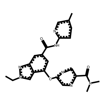 CCn1cc2c(Oc3cnc(C(=O)N(C)C)cn3)cc(C(=O)Nc3ccc(C)cn3)cc2n1